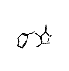 Cc1[nH][nH]c(=O)c1Oc1ccccc1